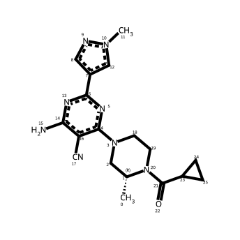 C[C@@H]1CN(c2nc(-c3cnn(C)c3)nc(N)c2C#N)CCN1C(=O)C1CC1